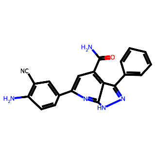 N#Cc1cc(-c2cc(C(N)=O)c3c(-c4ccccc4)n[nH]c3n2)ccc1N